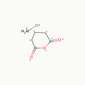 O=C1CCCC(=O)O1.[AlH2][Cl]